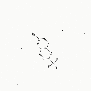 FC(F)(F)C1C=Cc2cc(Br)ccc2O1